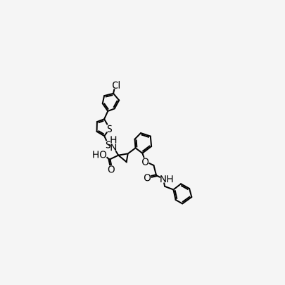 O=C(COc1ccccc1C1CC1(NSc1ccc(-c2ccc(Cl)cc2)s1)C(=O)O)NCc1ccccc1